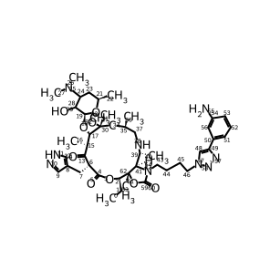 CC[C@H]1OC(=O)[C@H](Cc2cn[nH]c2)C(=O)[C@H](C)[C@@H](O[C@@H]2O[C@H](C)CC(N(C)C)C2O)[C@](C)(OC)C[C@@H](C)CN[C@H](C)[C@H]2N(CCCCn3cc(-c4cccc(N)c4)nn3)C(=O)O[C@]12C